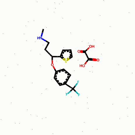 CNCCC(Oc1ccc(C(F)(F)F)cc1)c1cccs1.O=C(O)C(=O)O